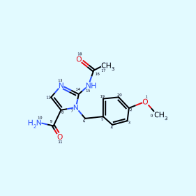 COc1ccc(Cn2c(C(N)=O)cnc2NC(C)=O)cc1